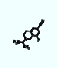 CC(C)N1CCc2cc(C#N)cc(F)c2C1